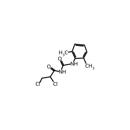 Cc1cccc(C)c1NC(=O)NC(=O)C(Cl)CCl